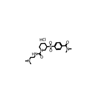 CN(C)CCNC(=O)N1CCCC(S(=O)(=O)c2ccc(C(=O)N(C)C)cc2)C1.Cl